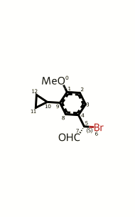 COc1ccc([C@H](Br)C=O)cc1C1CC1